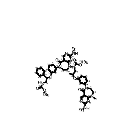 CCNc1ncc2c(n1)N(C)CCN(c1cccc(OC(C)CN(C(=O)OC(C)(C)C)N3CCN(c4cccc(OC(CNC(=O)OC(C)(C)C)c5ccccc5)c4)C(=O)c4cnc(NCC)nc43)c1)C2=O